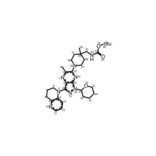 Cc1nc2c(N3CCCc4ncccc43)nn(C3CCCCO3)c2nc1N1CCC(C)(CNC(=O)OC(C)(C)C)CC1